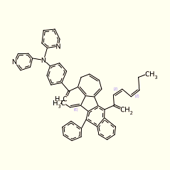 C=C(C1=C2C(=CC=CC1)c1c(c(-c3ccccc3)c3ccccc3c1C(=C)/C=C\C=C/CC)/C2=C/C)c1ccc(N(c2ccncc2)c2ccccn2)cc1